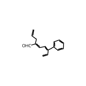 C=CC/C(C=O)=C\C=C(/C=C)c1ccccc1